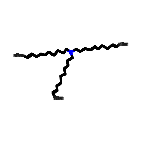 CCCCCCCCCCC=CCCCCCCCCN(CCCCCCCCC=CCCCCCCCCCC)CCCCCCCCC=CCCCCCCCCCC